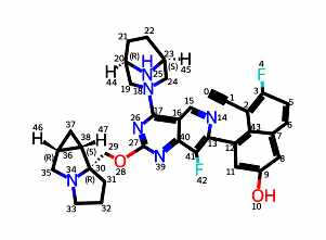 C#Cc1c(F)ccc2cc(O)cc(-c3ncc4c(N5C[C@H]6CC[C@@H](C5)N6)nc(OC[C@]56CCCN5C[C@@H]5C[C@@H]56)nc4c3F)c12